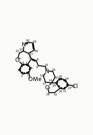 COc1ccc2c(c1)C(=CCCN1CCC3(CC1)OCCc1cc(Cl)ccc13)C1C=CC=NC1CO2